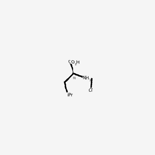 CC(C)C[C@H](N)C(=O)O.CCl